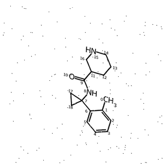 Cc1ccccc1C1(NC(=O)C2CCCNC2)CC1